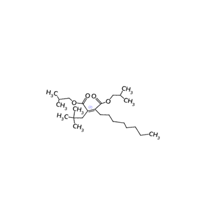 CCCCCCCC/C(C(=O)OCC(C)C)=C(\CC(C)(C)C)C(=O)OCC(C)C